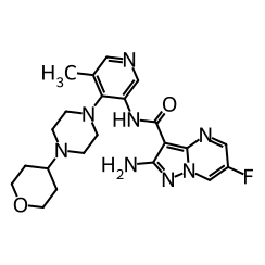 Cc1cncc(NC(=O)c2c(N)nn3cc(F)cnc23)c1N1CCN(C2CCOCC2)CC1